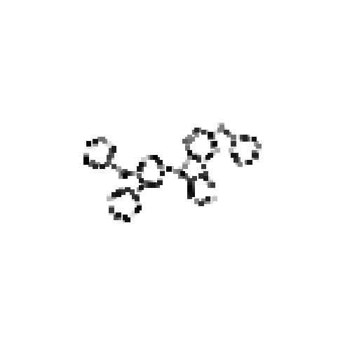 c1ccc(-n2c3ccccc3c3cc(-n4c5ccccc5c5c6c(ccc54)sc4ccccc46)ccc32)cc1